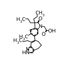 CCCC1=C(c2cc3c(cc2C)C(CCC)(CCC)C(=O)N3CC(=O)O)CCCc2c[nH]nc21